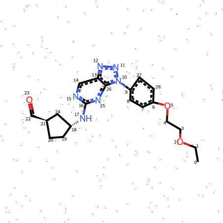 CCOCCOc1ccc(-n2nnc3cnc(N[C@@H]4CC[C@@H](C=O)C4)nc32)cc1